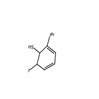 CC(C)C1=CC=CC(I)C1S